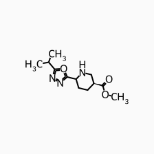 COC(=O)[C@H]1CCC(c2nnc(C(C)C)o2)NC1